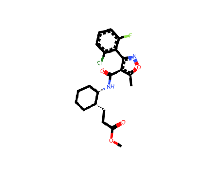 COC(=O)CC[C@@H]1CCCC[C@@H]1NC(=O)c1c(-c2c(F)cccc2Cl)noc1C